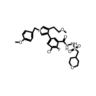 COCCc1cn(Cc2ccc(OC)cc2)cc1-c1cc(Cl)c(F)c(C(=O)NNS(=O)(=O)CC2CCOCC2)c1